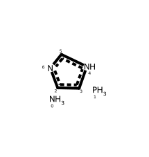 N.P.c1c[nH]cn1